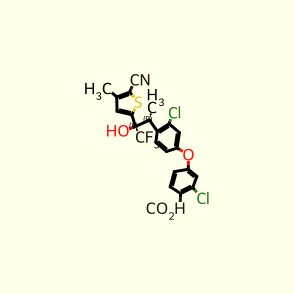 Cc1cc([C@](O)([C@H](C)c2ccc(Oc3ccc(C(=O)O)c(Cl)c3)cc2Cl)C(F)(F)F)sc1C#N